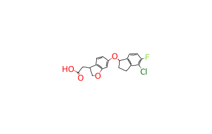 O=C(O)CC1COc2cc(O[C@@H]3CCc4c3ccc(F)c4Cl)ccc21